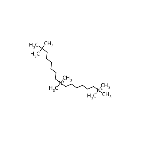 CC(C)(C)CCCCCC[N+](C)(C)CCCCCC[N+](C)(C)C